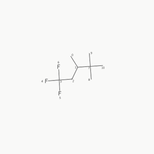 CC(CC(F)(F)F)C(C)(C)C